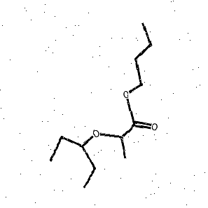 CCCCOC(=O)C(C)OC(CC)CC